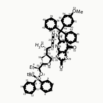 CC[C@H](O[Si](c1ccccc1)(c1ccccc1)C(C)(C)C)[C@@H]1C[C@@H]([C@H](C)N=[N+]=[N-])[C@H](n2c(=O)sc3c(=O)[nH]c(NC(c4ccccc4)(c4ccccc4)c4ccc(OC)cc4)nc32)O1